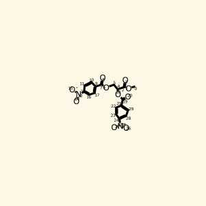 COC(=O)C(COC(=O)c1ccc([N+](=O)[O-])cc1)OC(=O)c1ccc([N+](=O)[O-])cc1